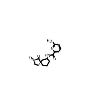 CCN1CC[C@]2(CCC[C@H](NC(=O)c3cccc(C)n3)C2)C1=O